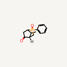 CC1C2CC(=O)[C@H]1CP2(=O)c1ccccc1